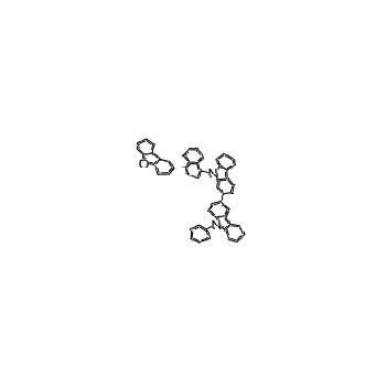 c1ccc(-n2c3ccccc3c3cc(-c4ccc5c6ccccc6n(-c6ccc(-c7ccc8oc9ccccc9c8c7)c7ccccc67)c5c4)ccc32)cc1